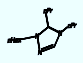 CCCCCCN1N=CN(CCC)C1CCC